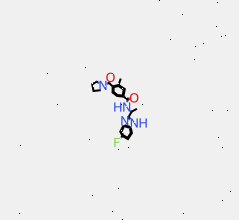 Cc1cc(C(=O)NC(C)c2nc3cc(F)ccc3[nH]2)ccc1C(=O)N1CCCC1